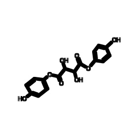 O=C(Oc1ccc(O)cc1)C(O)C(O)C(=O)Oc1ccc(O)cc1